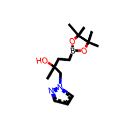 CC(O)(CCB1OC(C)(C)C(C)(C)O1)Cn1cccn1